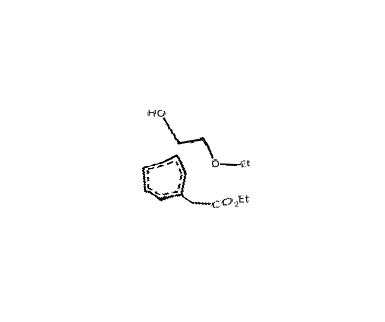 CCOC(=O)c1ccccc1.CCOCCO